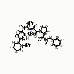 C/C(=C\[C@H](C(C)C)N(C)C(=O)[C@@H](NC(=O)C1CCCCN1C(C)C)C(C)(C)C)C(=O)N1CCC[C@H]1C(=O)N(C)Cc1ccccc1